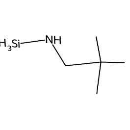 CC(C)(C)CN[SiH3]